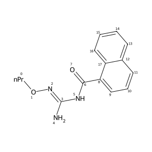 CCCON=C(N)NC(=O)c1cccc2ccccc12